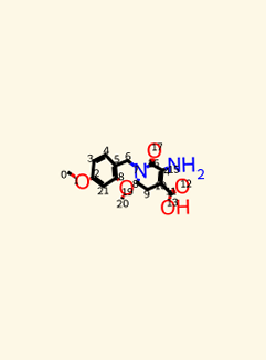 COc1ccc(CN2CCC(C(=O)O)=C(N)C2=O)c(OC)c1